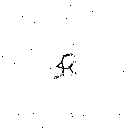 C=CC1CC1(NCl)C(=O)CCC